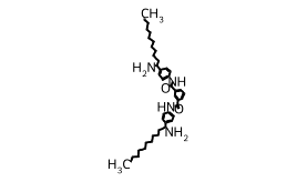 CCCCCCCCCCCC(N)c1ccc(NC(=O)c2cccc(C(=O)Nc3ccc(C(N)CCCCCCCCCCC)cc3)c2)cc1